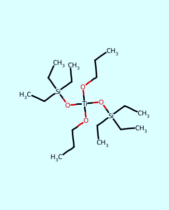 CCC[O][Ti]([O]CCC)([O][Si](CC)(CC)CC)[O][Si](CC)(CC)CC